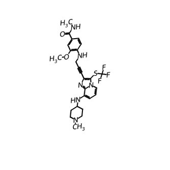 CNC(=O)c1ccc(NCC#Cc2nc3c(NC4CCN(C)CC4)cccn3c2SC(F)(F)F)c(OC)c1